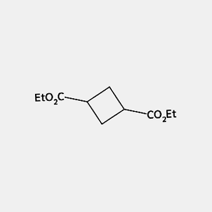 CCOC(=O)C1CC(C(=O)OCC)C1